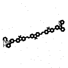 CC1(C)c2cc(/C=C/c3ccc4c(c3)C(C)(C)c3cc(-c5ccc6c(c5)c5ccccc5n6-c5ccccn5)ccc3-4)ccc2-c2ccc(/C=C/c3ccc4c(c3)C(C)(C)c3cc(-c5ccc6c(c5)c5ccccc5n6C5C=CC=CN5)ccc3-4)cc21